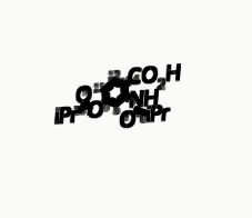 CC(C)C(=O)Nc1cc(OC(=O)C(C)C)ccc1C(=O)O